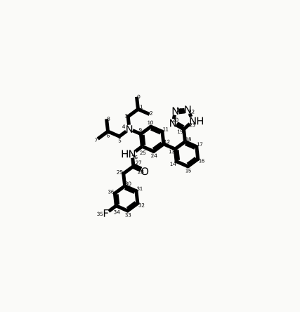 CC(C)CN(CC(C)C)c1ccc(-c2ccccc2-c2nnn[nH]2)cc1NC(=O)Cc1cccc(F)c1